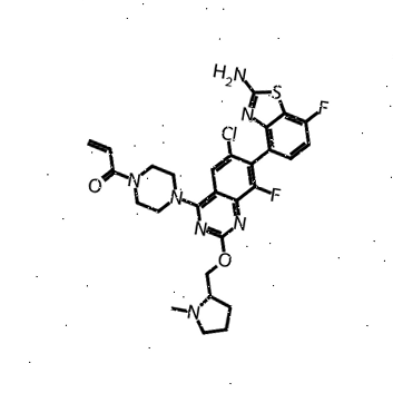 C=CC(=O)N1CCN(c2nc(OCC3CCCN3C)nc3c(F)c(-c4ccc(F)c5sc(N)nc45)c(Cl)cc23)CC1